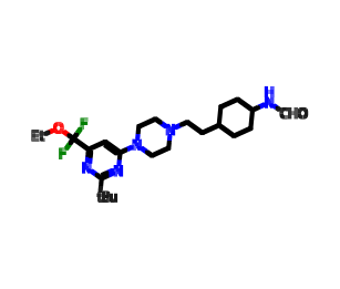 CCOC(F)(F)c1cc(N2CCN(CCC3CCC(NC=O)CC3)CC2)nc(C(C)(C)C)n1